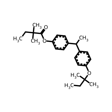 CCC(C)(C)Oc1ccc(C(C)c2ccc(OC(=O)C(C)(C)CC)cc2)cc1